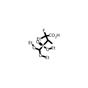 CCOC(OCC)P(=O)(OCC)C(C)C(F)(CC)C(=O)O